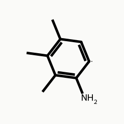 Cc1c[c]c(N)c(C)c1C